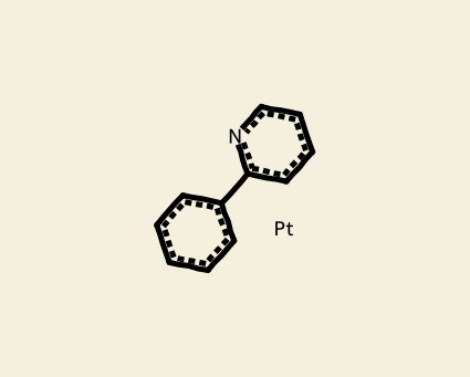 [Pt].c1ccc(-c2ccccn2)cc1